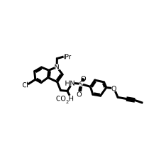 CC#CCOc1ccc(S(=O)(=O)NC(Cc2cn(CC(C)C)c3ccc(Cl)cc23)C(=O)O)cc1